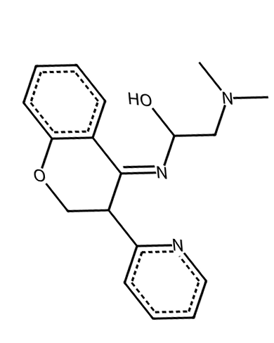 CN(C)CC(O)N=C1c2ccccc2OCC1c1ccccn1